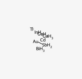 [BiH3].[Cd].[GaH3].[GeH4].[InH3].[SbH2][Au].[Tl]